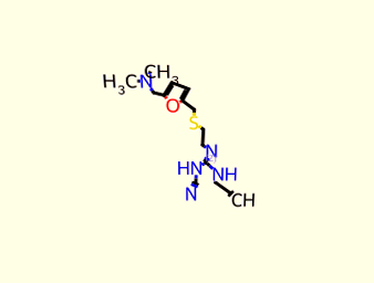 C#CCN/C(=N/CCSCc1ccc(CN(C)C)o1)NC#N